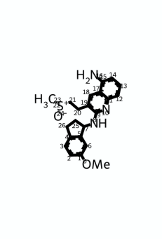 COc1ccc2c(c1)C(Nc1nc3cccc(N)c3cc1CC[S+](C)[O-])CC2